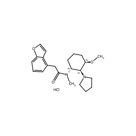 CO[C@@H]1CCC[C@@H](N(C)C(=O)Cc2cccc3occc23)[C@@H]1N1CCCC1.Cl